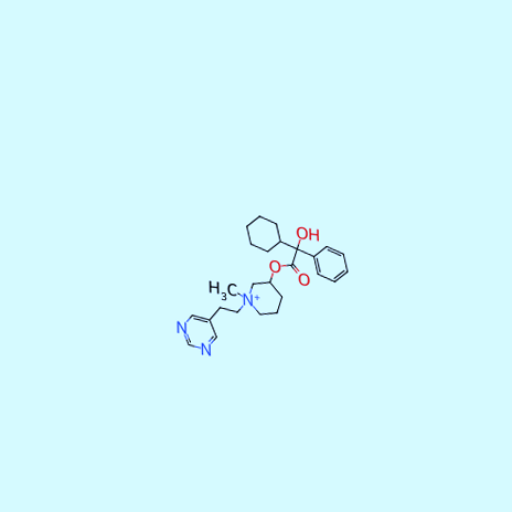 C[N+]1(CCc2cncnc2)CCCC(OC(=O)C(O)(c2ccccc2)C2CCCCC2)C1